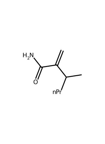 C=C(C(N)=O)C(C)CCC